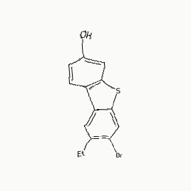 CCc1cc2c(cc1Br)sc1cc(O)ccc12